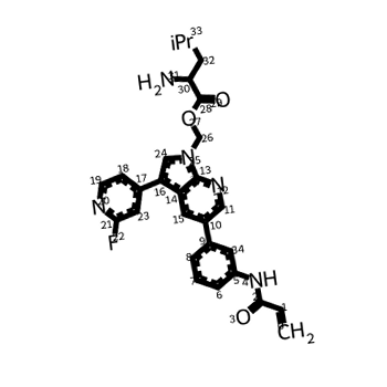 C=CC(=O)Nc1cccc(-c2cnc3c(c2)c(-c2ccnc(F)c2)cn3COC(=O)C(N)CC(C)C)c1